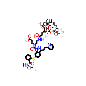 CNC(=O)c1ccccc1Sc1ccc2c(/C=C/c3ccccn3)nn(C(=O)N(CCNC(=O)CC[C@H](NC(=O)OC(C)(C)C)C(=O)OC(C)(C)C)CCC(=O)O)c2c1